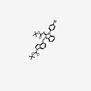 CC(C)(C)OC(=O)/N=c1\n(Cc2cccc3c2ccn3C(=O)OC(C)(C)C)c2ccccc2n1-c1ccc(Br)cc1